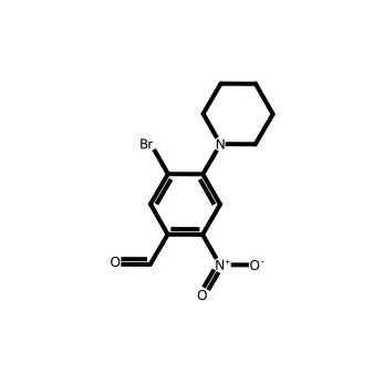 O=Cc1cc(Br)c(N2CCCCC2)cc1[N+](=O)[O-]